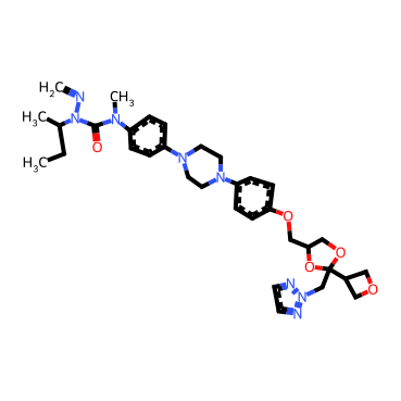 C=NN(C(=O)N(C)c1ccc(N2CCN(c3ccc(OCC4COC(Cn5nccn5)(C5COC5)O4)cc3)CC2)cc1)C(C)CC